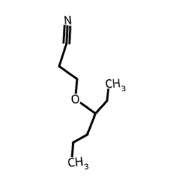 CCCC(CC)OCCC#N